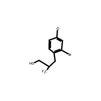 OCC(Cc1ccc(Cl)cc1Br)C(F)(F)F